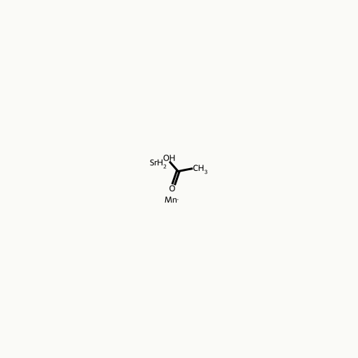 CC(=O)O.[Mn].[SrH2]